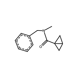 CN(Cc1ccccc1)C(=O)C12CC1C2